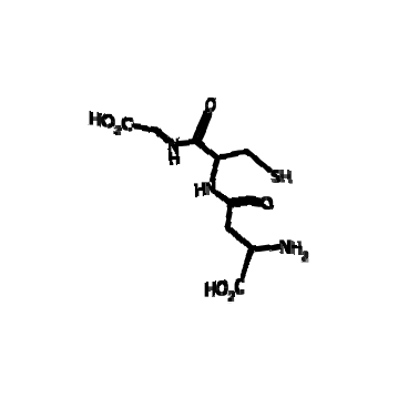 NC(CC(=O)NC(CS)C(=O)NCC(=O)O)C(=O)O